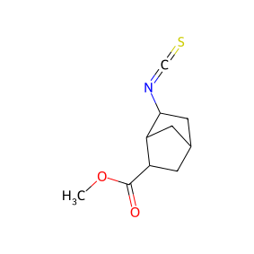 COC(=O)C1CC2CC(N=C=S)C1C2